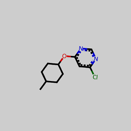 CC1CCC(Oc2cc(Cl)ncn2)CC1